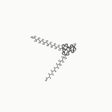 CCCCCCCCCCCCCCCC(=O)OC1C(=O)N(OC(C)=O)C(=O)C1OC(=O)CCCCCCCCCCCCCCC